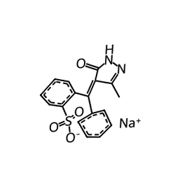 CC1=NNC(=O)C1=C(c1ccccc1)c1ccccc1S(=O)(=O)[O-].[Na+]